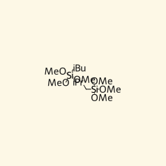 CCC(C)[Si](OC)(OC)OC.CO[Si](CC(C)C)(OC)OC